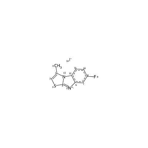 CC1=CSC2=[N+]c3cc(F)ccc3N12.[I-]